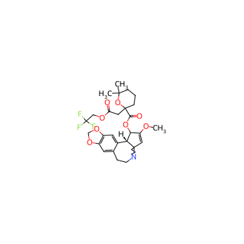 COC1=CC23CCCN2CCc2cc4c(cc2[C@@H]3C1OC(=O)C1(CC(=O)OCC(F)(F)F)CCCC(C)(C)O1)OCO4